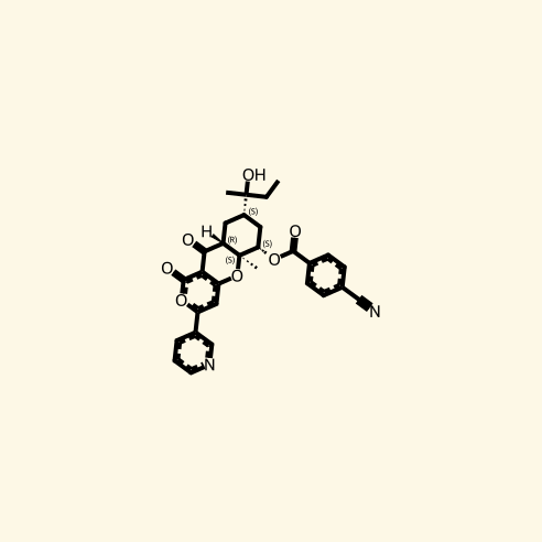 CCC(C)(O)[C@@H]1C[C@H](OC(=O)c2ccc(C#N)cc2)[C@@]2(C)Oc3cc(-c4cccnc4)oc(=O)c3C(=O)[C@@H]2C1